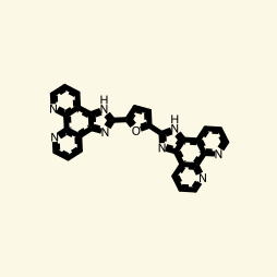 c1cnc2c(c1)c1nc(-c3ccc(-c4nc5c6cccnc6c6ncccc6c5[nH]4)o3)[nH]c1c1cccnc12